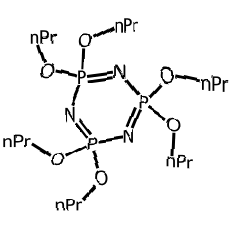 CCCOP1(OCCC)=NP(OCCC)(OCCC)=NP(OCCC)(OCCC)=N1